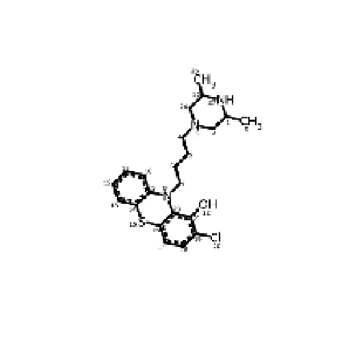 CC1CN(CCCCN2c3ccccc3Sc3ccc(Cl)c(O)c32)CC(C)N1